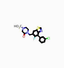 O=C(O)N1CCN(Cc2cc3scnc3c(-c3cccc(Cl)c3)c2F)C(=O)C1